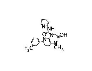 CN1C[C@@H](O)CN(C(=O)Nc2ccccn2)c2nc(-c3cccc(C(F)(F)F)c3)ccc21